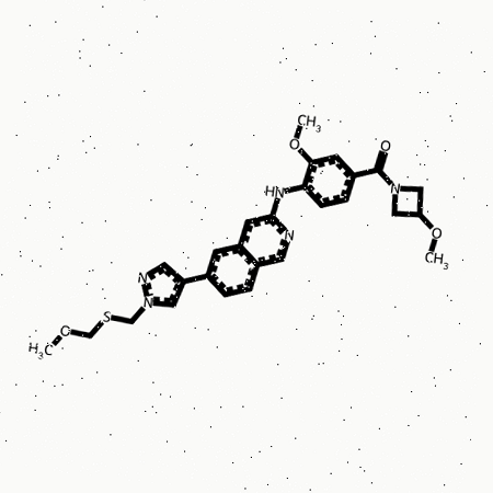 COCSCn1cc(-c2ccc3cnc(Nc4ccc(C(=O)N5CC(OC)C5)cc4OC)cc3c2)cn1